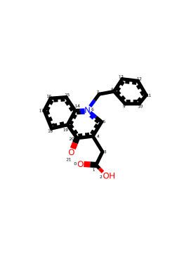 O=C(O)Cc1cn(Cc2ccccc2)c2ccccc2c1=O